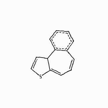 C1=Cc2ccccc2C2C=CSC2=C1